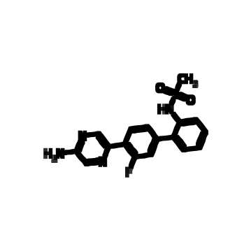 CS(=O)(=O)Nc1ccccc1-c1ccc(-c2cnc(N)cn2)c(F)c1